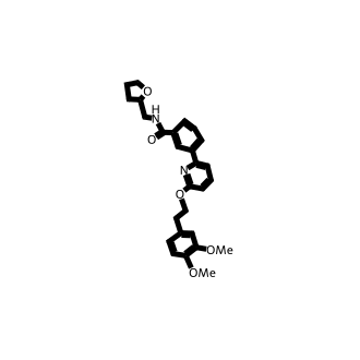 COc1ccc(CCOc2cccc(-c3cccc(C(=O)NCC4CCCO4)c3)n2)cc1OC